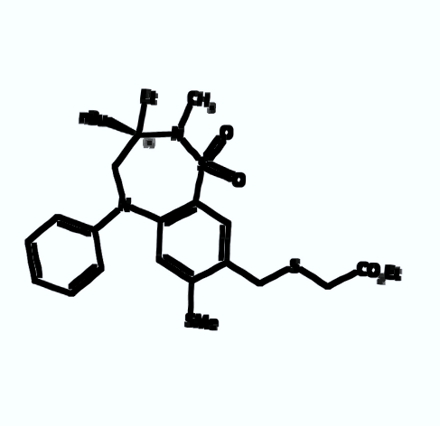 CCCC[C@]1(CC)CN(c2ccccc2)c2cc(SC)c(CSCC(=O)OCC)cc2S(=O)(=O)N1C